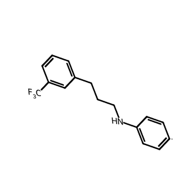 FC(F)(F)c1cccc(CCCNc2cc[c]cc2)c1